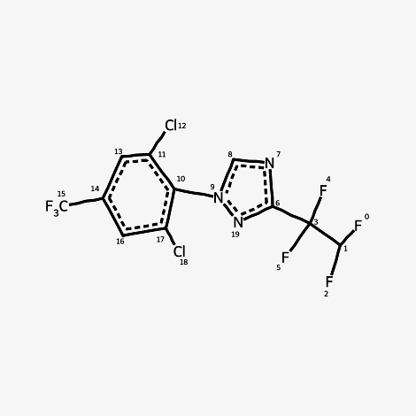 FC(F)C(F)(F)c1ncn(-c2c(Cl)cc(C(F)(F)F)cc2Cl)n1